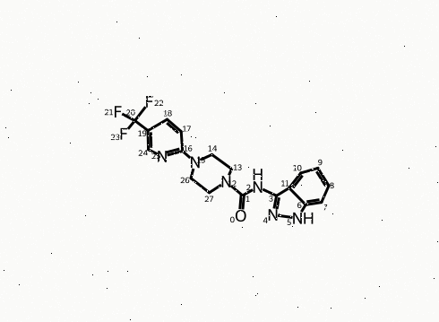 O=C(Nc1n[nH]c2ccccc12)N1CCN(c2ccc(C(F)(F)F)cn2)CC1